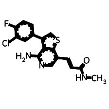 CNC(=O)C=Cc1cnc(N)c2c(-c3ccc(F)c(Cl)c3)csc12